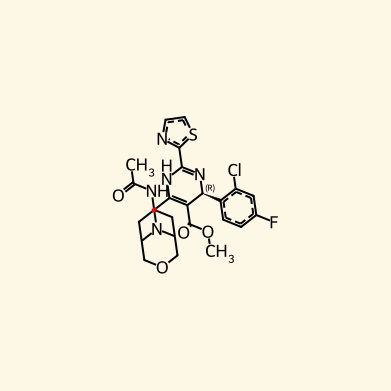 COC(=O)C1=C(CN2C3COCC2CC(NC(C)=O)C3)NC(c2nccs2)=N[C@H]1c1ccc(F)cc1Cl